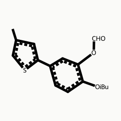 Cc1csc(-c2ccc(OCC(C)C)c(OC=O)c2)c1